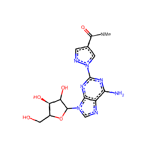 CNC(=O)c1cnn(-c2nc(N)c3ncn(C4OC(CO)[C@@H](O)C4O)c3n2)c1